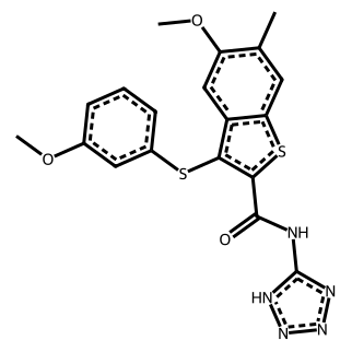 COc1cccc(Sc2c(C(=O)Nc3nnn[nH]3)sc3cc(C)c(OC)cc23)c1